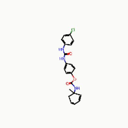 CC1(NC(=O)Oc2ccc(NC(=O)Nc3ccc(Cl)cc3)cc2)C=CC=CC1